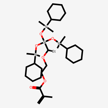 C=C(C)C(=O)OCCOC(CC)[Si](O[Si](C)(C)C1CCCCC1)(O[Si](C)(C)C1CCCCC1)O[Si](C)(C)C1CCCCC1